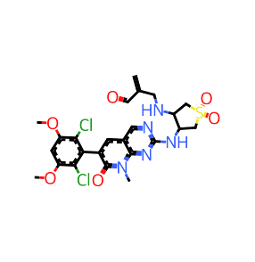 C=C(C=O)CNC1CS(=O)(=O)CC1Nc1ncc2cc(-c3c(Cl)c(OC)cc(OC)c3Cl)c(=O)n(C)c2n1